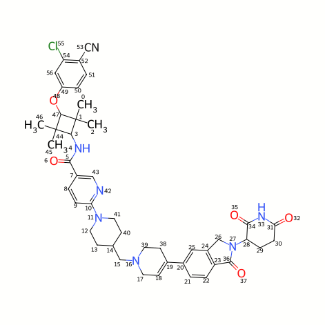 CC1(C)C(NC(=O)c2ccc(N3CCC(CN4CC=C(c5ccc6c(c5)CN(C5CCC(=O)NC5=O)C6=O)CC4)CC3)nc2)C(C)(C)C1Oc1ccc(C#N)c(Cl)c1